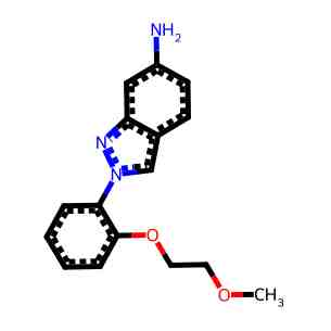 COCCOc1ccccc1-n1cc2ccc(N)cc2n1